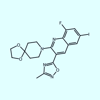 Cc1noc(-c2cc3cc(I)cc(F)c3nc2N2CCC3(CC2)OCCO3)n1